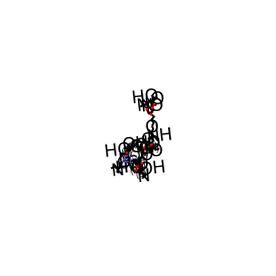 CC[C@H]1OC(=O)[C@H](C)[C@@H](O[C@H]2C[C@@](C)(OC)[C@@H](OC(=O)NCCOCCCc3ccc4c(c3)c(=O)c(C(=O)O)cn4N(C)C)[C@H](C)O2)[C@H](C)[C@@H](O[C@@H]2O[C@H](C)C[C@H](N(C)C)[C@H]2O)[C@](C)(O)C[C@@H](C)/C(=N\OCCN(C)CC)[C@@H](C)[C@@H](O)[C@]1(C)O